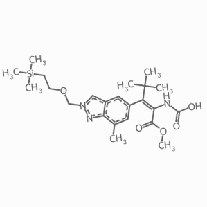 COC(=O)/C(NC(=O)O)=C(\c1cc(C)c2nn(COCC[Si](C)(C)C)cc2c1)C(C)(C)C